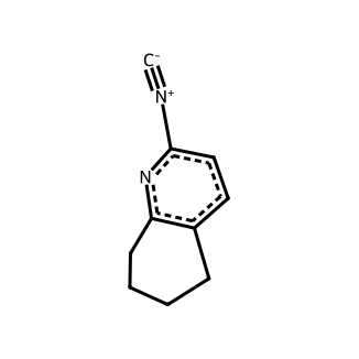 [C-]#[N+]c1ccc2c(n1)CCCC2